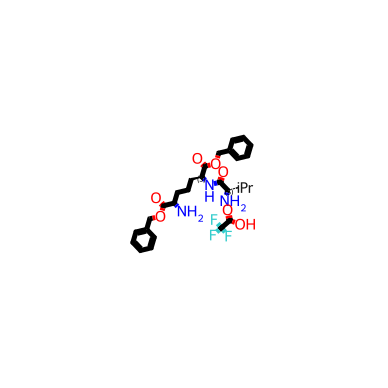 CC(C)[C@H](N)C(=O)N[C@@H](CCCC(N)C(=O)OCc1ccccc1)C(=O)OCc1ccccc1.O=C(O)C(F)(F)F